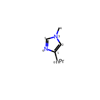 [CH2]CCc1cn(C)cn1